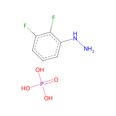 NNc1cccc(F)c1F.O=P(O)(O)O